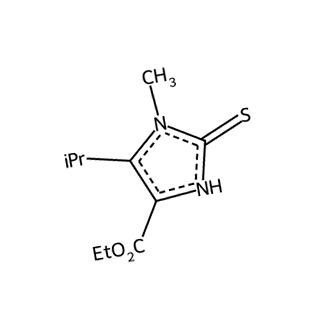 CCOC(=O)c1[nH]c(=S)n(C)c1C(C)C